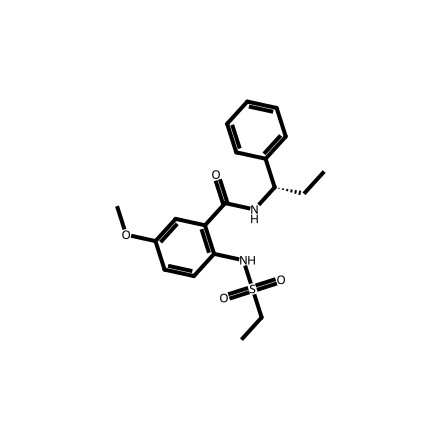 CC[C@H](NC(=O)c1cc(OC)ccc1NS(=O)(=O)CC)c1ccccc1